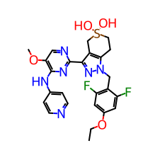 CCOc1cc(F)c(Cn2nc(-c3ncc(OC)c(Nc4ccncc4)n3)c3c2CCS(O)(O)C3)c(F)c1